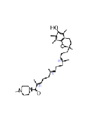 C/C(=C\CC/C(C)=C/CCC1(C)CCc2c(C)c(O)c(C)c(C)c2O1)CC/C=C(\C)C(=O)N1CCN(C)CC1